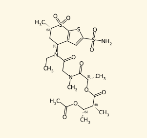 CCN(C(=O)CN(C)C(=O)[C@H](C)OC(=O)[C@H](C)[C@H](C)OC(C)=O)[C@H]1C[C@H](C)S(=O)(=O)c2sc(S(N)(=O)=O)cc21